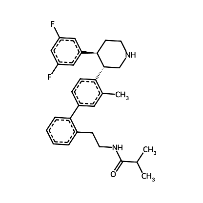 Cc1cc(-c2ccccc2CCNC(=O)C(C)C)ccc1[C@H]1CNCC[C@@H]1c1cc(F)cc(F)c1